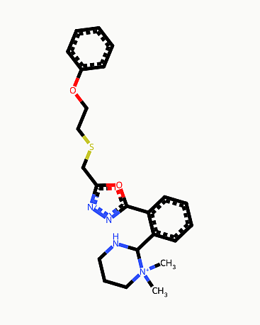 C[N+]1(C)CCCNC1c1ccccc1-c1nnc(CSCCOc2ccccc2)o1